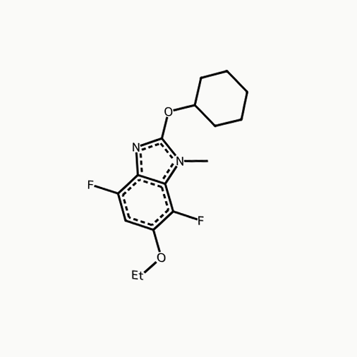 CCOc1cc(F)c2nc(OC3CCCCC3)n(C)c2c1F